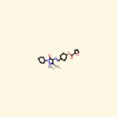 Cc1c(/N=C/c2ccc(OC(=O)c3ccco3)cc2)c(=O)n(-c2ccccc2)n1C